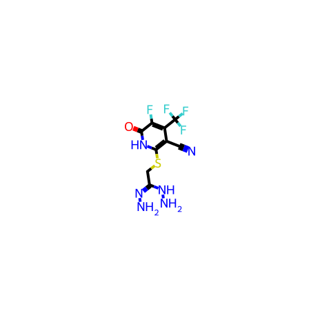 N#Cc1c(SC/C(=N/N)NN)[nH]c(=O)c(F)c1C(F)(F)F